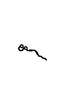 CCCCCC#CCC#CCOC1CCCCO1